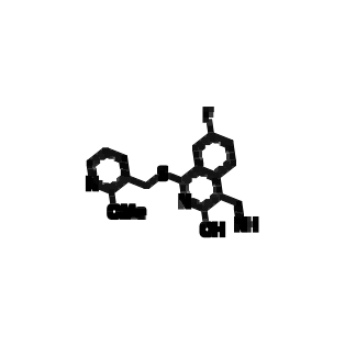 COc1ncccc1CSc1nc(O)c(C=N)c2ccc(F)cc12